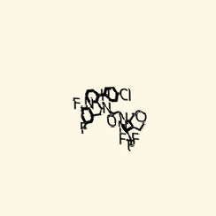 O=C(Cn1nc(C(F)(F)F)c2c1COCC2)N[C@@H](Cc1cc(F)cc(F)c1)c1ncccc1-c1ccc(Cl)cc1